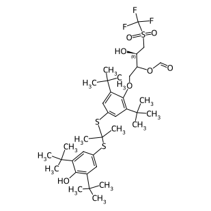 CC(C)(Sc1cc(C(C)(C)C)c(O)c(C(C)(C)C)c1)Sc1cc(C(C)(C)C)c(OCC(OC=O)[C@@H](O)CS(=O)(=O)C(F)(F)F)c(C(C)(C)C)c1